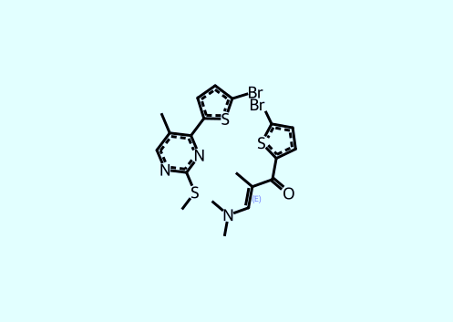 C/C(=C\N(C)C)C(=O)c1ccc(Br)s1.CSc1ncc(C)c(-c2ccc(Br)s2)n1